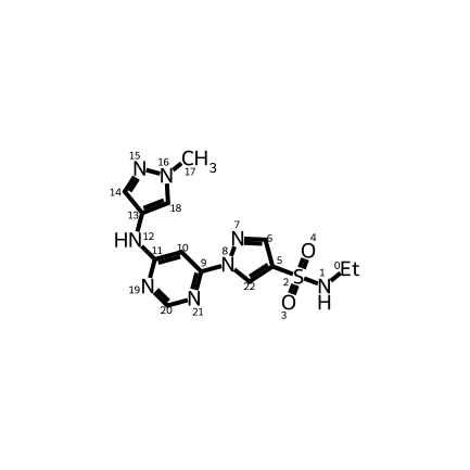 CCNS(=O)(=O)c1cnn(-c2cc(Nc3cnn(C)c3)ncn2)c1